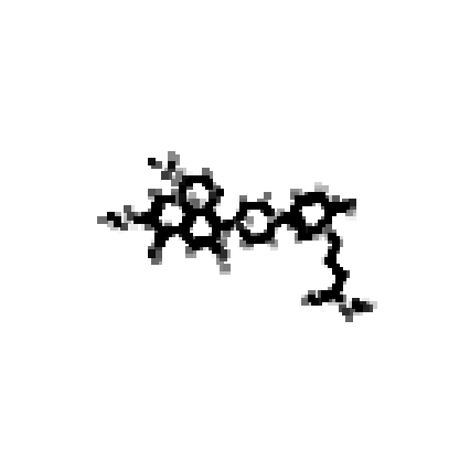 COC(=O)CCCn1nc(N2CCN(c3c(F)cc4c(=O)c(C(=O)O)cn5c4c3OCN5C)CC2)ccc1=O